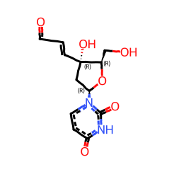 O=CC=C[C@]1(O)C[C@H](n2ccc(=O)[nH]c2=O)O[C@@H]1CO